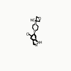 N#CC1(N2CCN(c3cc4[nH]ncc4cc3Cl)CC2)COC1